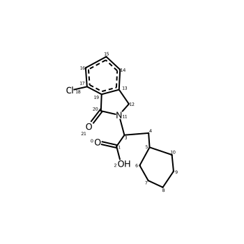 O=C(O)C(CC1CCCCC1)N1Cc2cccc(Cl)c2C1=O